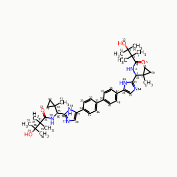 CC1([C@H](NC(=O)C(C)(C)C(C)(C)O)c2ncc(-c3ccc(-c4ccc(-c5cnc([C@@H](NC(=O)C(C)(C)C(C)(C)O)C6(C)CC6)[nH]5)cc4)cc3)[nH]2)CC1